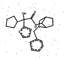 O=C(NC1C2CCC1N(Cc1ccccc1)C2)C(O)(c1cccs1)C1CCCC1